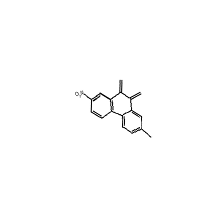 C=c1c(=C)c2cc([N+](=O)[O-])ccc2c2ccc(C)cc12